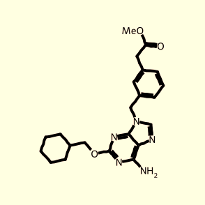 COC(=O)Cc1cccc(Cn2cnc3c(N)nc(OCC4CCCCC4)nc32)c1